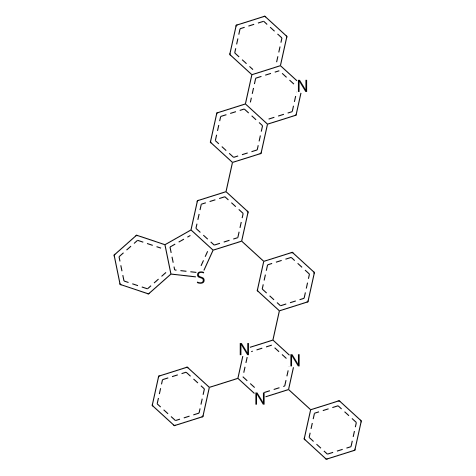 c1ccc(-c2nc(-c3ccccc3)nc(-c3cccc(-c4cc(-c5ccc6c(cnc7ccccc76)c5)cc5c4sc4ccccc45)c3)n2)cc1